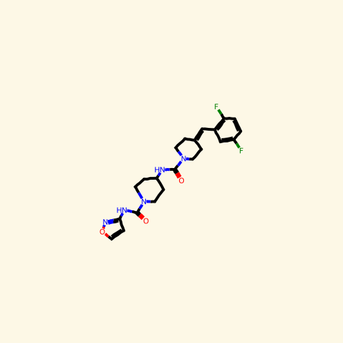 O=C(Nc1ccon1)N1CCC(NC(=O)N2CCC(=Cc3cc(F)ccc3F)CC2)CC1